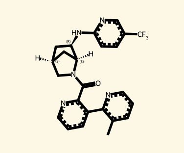 Cc1cccnc1-c1cccnc1C(=O)N1C[C@H]2C[C@@H](Nc3ccc(C(F)(F)F)cn3)[C@@H]1C2